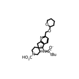 CC(C)(C)[S@@+]([O-])N[C@@H]1c2ccc(COC3CCCCO3)nc2CC12CCN(C(=O)O)CC2